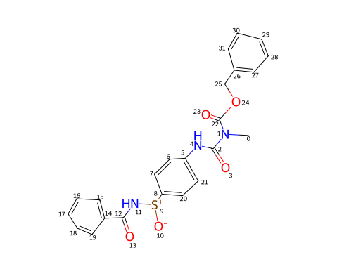 CN(C(=O)Nc1ccc([S+]([O-])NC(=O)c2ccccc2)cc1)C(=O)OCc1ccccc1